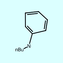 CCCC[N]c1ccccc1